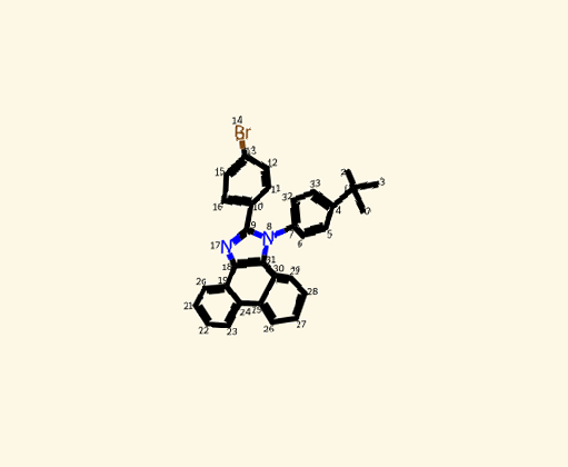 CC(C)(C)c1ccc(-n2c(-c3ccc(Br)cc3)nc3c4ccccc4c4ccccc4c32)cc1